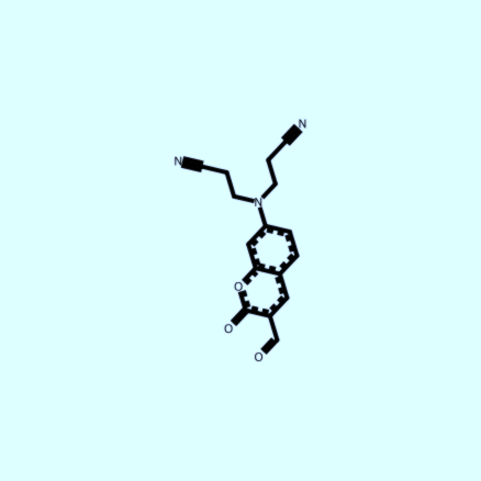 N#CCCN(CCC#N)c1ccc2cc(C=O)c(=O)oc2c1